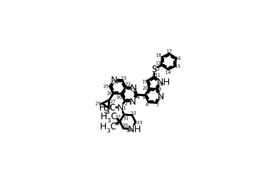 CN(c1nc(-c2ccnc3[nH]c(Sc4ccccc4)cc23)nc2cncc(C3CC3)c12)C1CCNCC1(C)C